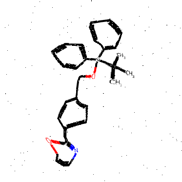 CC(C)(C)[Si](OCc1ccc(-c2ncco2)cc1)(c1ccccc1)c1ccccc1